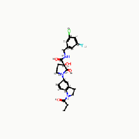 CCC(=O)N1CCc2cc(N3CC[C@@](O)(C(=O)NCc4cc(F)cc(Cl)c4)C3=O)ccc21